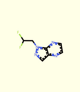 FC(F)Cn1ncc2nccnc21